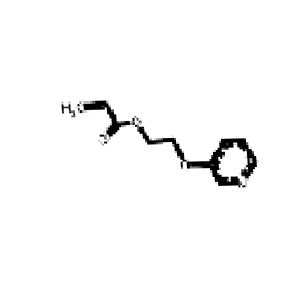 C=CC(=O)OCCOc1cccnc1